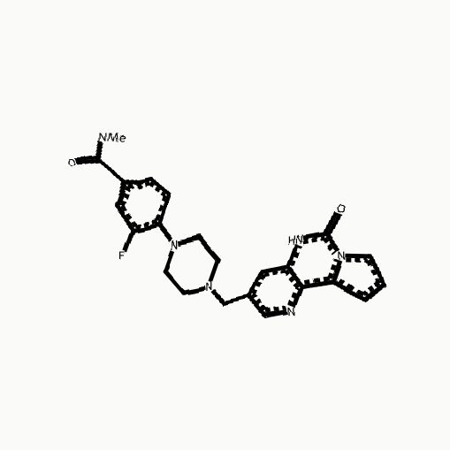 CNC(=O)c1ccc(N2CCN(Cc3cnc4c(c3)[nH]c(=O)n3cccc43)CC2)c(F)c1